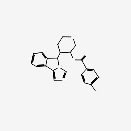 O=C(OC1COCCC1C1c2ccccc2-c2cncn21)c1ccc([N+](=O)[O-])cc1